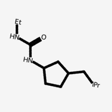 CCNC(=O)NC1CCC(CC(C)C)C1